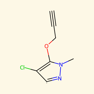 C#CCOc1c(Cl)[c]nn1C